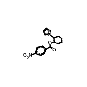 O=C(OC1CCCCC1n1cccn1)c1ccc([N+](=O)[O-])cc1